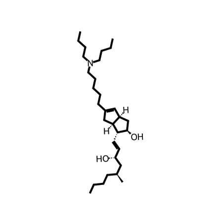 CCCC[C@H](C)C[C@H](O)/C=C/[C@@H]1[C@H]2CC(CCCCCN(CCCC)CCCC)=C[C@H]2C[C@H]1O